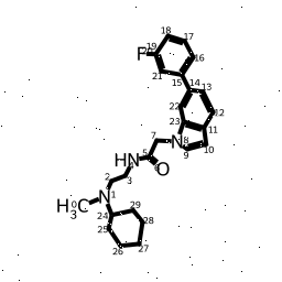 CN(CCNC(=O)Cn1ccc2ccc(-c3cccc(F)c3)cc21)C1CCCCC1